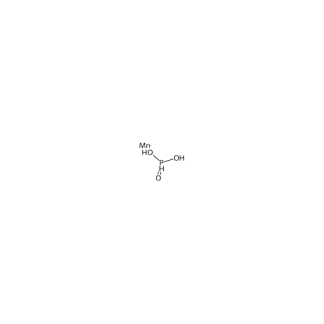 O=[PH](O)O.[Mn]